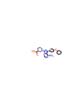 Nc1nccn2c(N3CCCC(C(=O)O)C3)nc(-c3ccc(Oc4ccccc4)cc3)c12